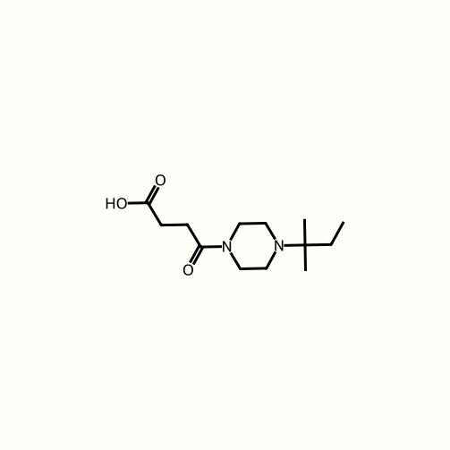 CCC(C)(C)N1CCN(C(=O)CCC(=O)O)CC1